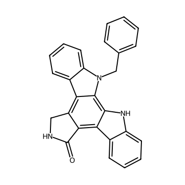 O=C1NCc2c1c1c3ccccc3[nH]c1c1c2c2ccccc2n1Cc1ccccc1